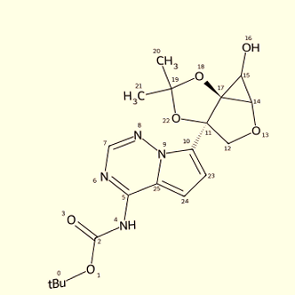 CC(C)(C)OC(=O)Nc1ncnn2c([C@@]34COC5C(O)[C@]53OC(C)(C)O4)ccc12